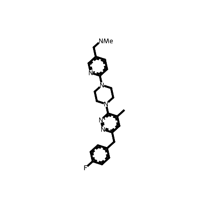 CNCc1ccc(N2CCN(c3nnc(Cc4ccc(F)cc4)cc3C)CC2)nc1